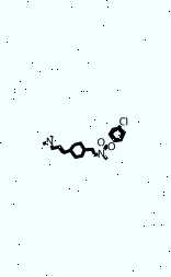 CN(C)CC=CC1CCC(CCN(C)C(=O)Oc2ccc(Cl)cc2)CC1